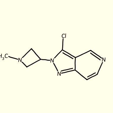 CN1CC(n2nc3ccncc3c2Cl)C1